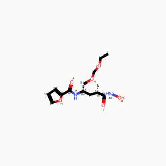 CCOCOC[C@H](C[C@H](C)C(=O)NO)NC(=O)c1ccco1